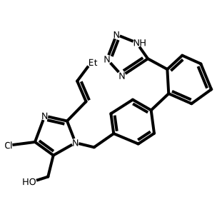 CCC=Cc1nc(Cl)c(CO)n1Cc1ccc(-c2ccccc2-c2nnn[nH]2)cc1